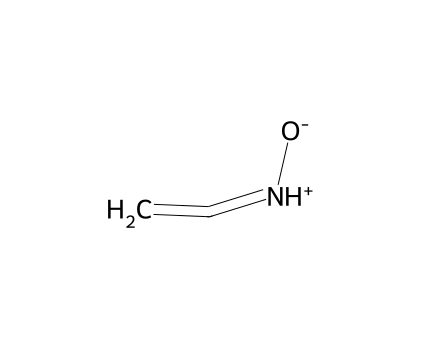 C=C=[NH+][O-]